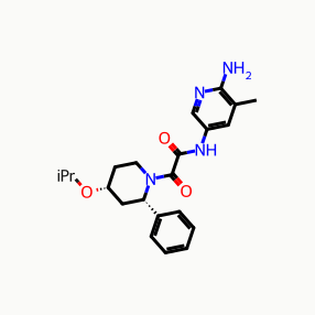 Cc1cc(NC(=O)C(=O)N2CC[C@@H](OC(C)C)C[C@H]2c2ccccc2)cnc1N